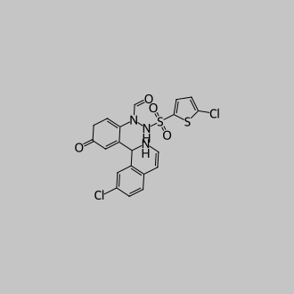 O=CN(NS(=O)(=O)c1ccc(Cl)s1)C1=CCC(=O)C=C1C1NC=Cc2ccc(Cl)cc21